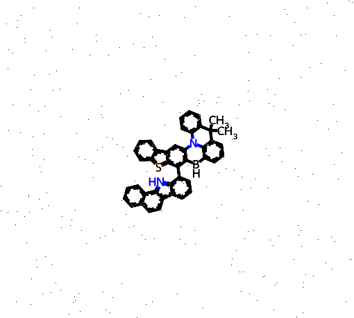 CC1(C)c2ccccc2N2c3cc4c(sc5ccccc54)c(-c4cccc5c4[nH]c4c6ccccc6ccc54)c3Bc3cccc1c32